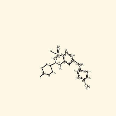 CN1CCC(CNc2cc(Nc3cnc(C#N)cn3)nnc2S(C)(=O)=O)CC1